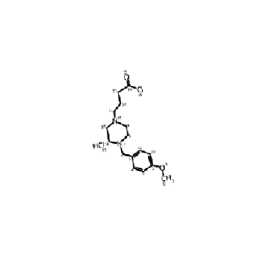 COc1ccc(CN2CCN(CCCC(=O)Cl)CC2)cc1.Cl